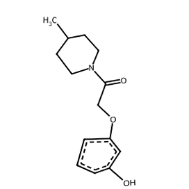 CC1CCN(C(=O)COc2cccc(O)c2)CC1